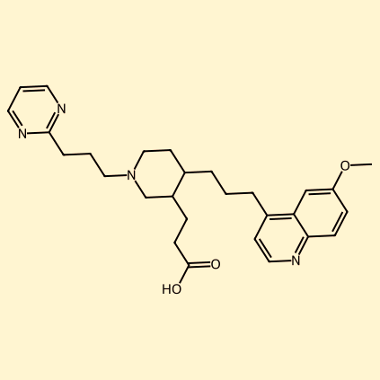 COc1ccc2nccc(CCCC3CCN(CCCc4ncccn4)CC3CCC(=O)O)c2c1